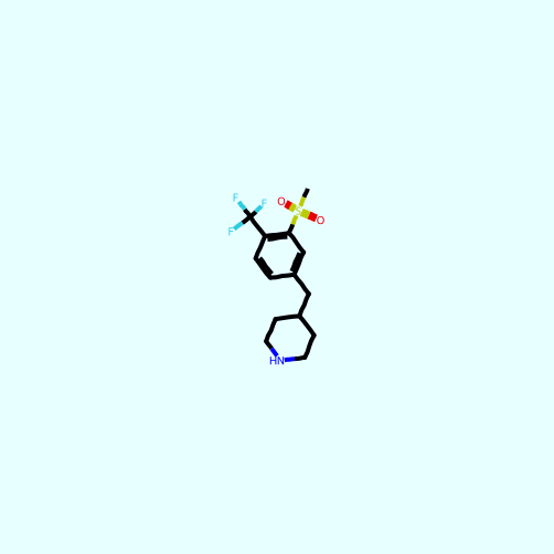 CS(=O)(=O)c1cc(CC2CCNCC2)ccc1C(F)(F)F